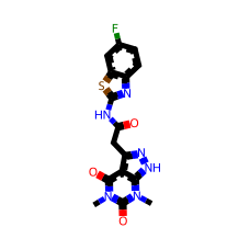 Cn1c(=O)c2c(CC(=O)Nc3nc4ccc(F)cc4s3)n[nH]c2n(C)c1=O